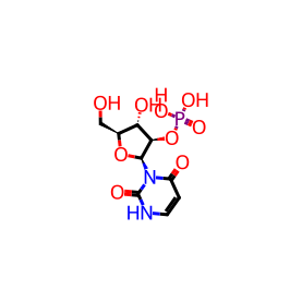 O=c1cc[nH]c(=O)n1[C@H]1O[C@@H](CO)[C@H](O)[C@H]1OP(=O)(O)O